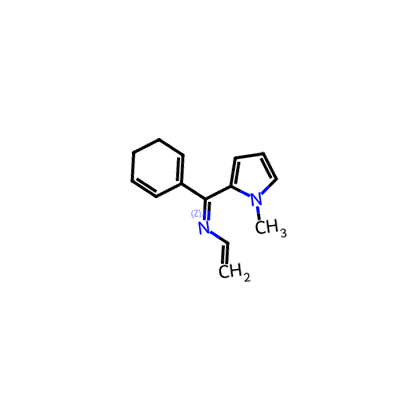 C=C/N=C(/C1=CCCC=C1)c1cccn1C